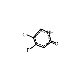 O=c1cc(F)c(Cl)c[nH]1